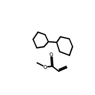 C1CCC(C2CCCCC2)CC1.C=CC(=O)OC